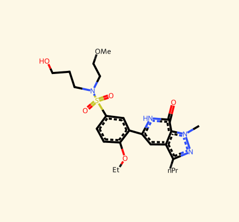 CCCc1nn(C)c2c(=O)[nH]c(-c3cc(S(=O)(=O)N(CCCO)CCOC)ccc3OCC)cc12